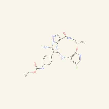 C[C@H]1CNC(=O)c2cnn3c(N)c(-c4ccc(NC(=O)OCC(F)(F)F)cc4)c(nc23)NCc2cc(F)cnc2O1